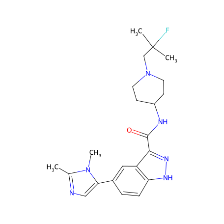 Cc1ncc(-c2ccc3[nH]nc(C(=O)NC4CCN(CC(C)(C)F)CC4)c3c2)n1C